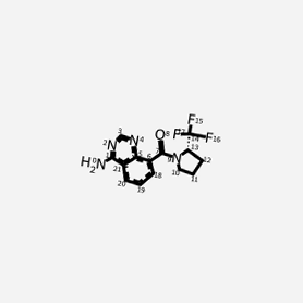 Nc1ncnc2c(C(=O)N3CCC[C@H]3C(F)(F)F)cccc12